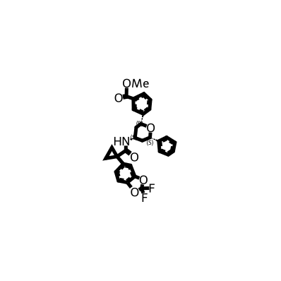 COC(=O)c1cccc([C@H]2C[C@@H](NC(=O)C3(c4ccc5c(c4)OC(F)(F)O5)CC3)C[C@@H](c3ccccc3)O2)c1